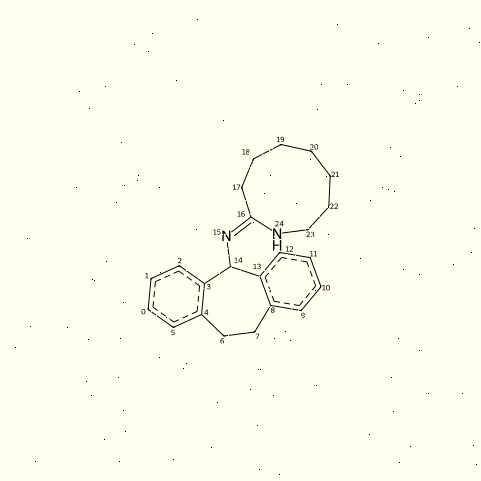 c1ccc2c(c1)CCc1ccccc1C2N=C1CCCCCCCN1